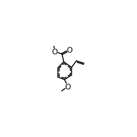 C=Cc1cc(OC)ccc1C(=O)OC